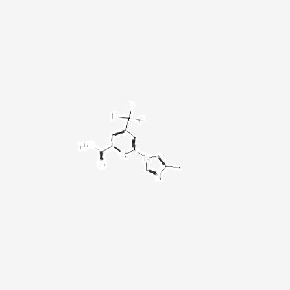 Cc1cn(-c2cc(C(F)(F)F)cc(C(=O)O)n2)cn1